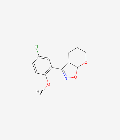 COc1ccc(Cl)cc1C1=NOC2OCCCC12